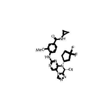 CC[C@@H]1c2nncn2-c2cnc(Nc3ccc(C(=O)NC4CC4)cc3OC)nc2N1[C@@H]1CCC(F)(F)C1